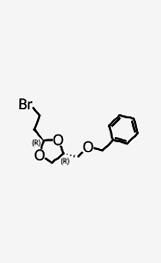 BrCC[C@@H]1OC[C@@H](COCc2ccccc2)O1